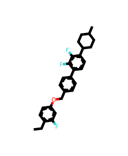 CCc1ccc(OCc2ccc(-c3ccc(C4CCC(C)CC4)c(F)c3F)cc2)cc1F